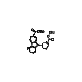 COC(=O)c1ccc2c3ncccc3n(C3C=CCN(C(=O)OC(C)(C)C)C3)c2c1